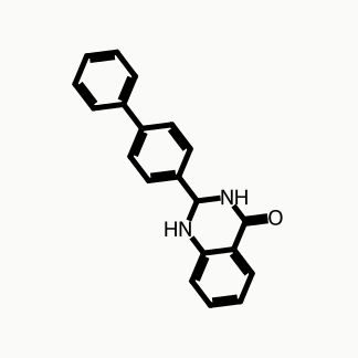 O=C1NC(c2ccc(-c3ccccc3)cc2)Nc2ccccc21